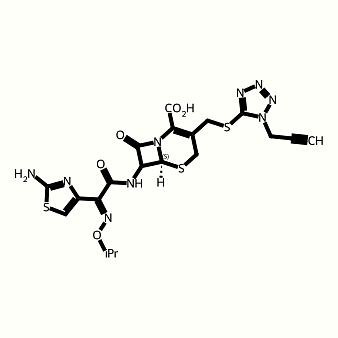 C#CCn1nnnc1SCC1=C(C(=O)O)N2C(=O)C(NC(=O)C(=NOC(C)C)c3csc(N)n3)[C@@H]2SC1